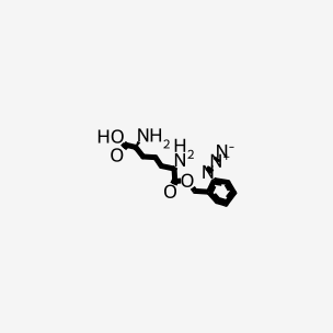 [N-]=[N+]=Nc1ccccc1COC(=O)C(N)CCC[C@H](N)C(=O)O